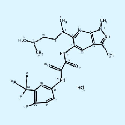 Cc1nn(C)c2nc(N(C)CCN(C)C)c(NC(=O)C(=O)Nc3ccc(F)c(C(F)(F)F)c3)cc12.Cl